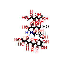 NCC(=O)O.O=CC(O)C(O)C(O)C(O)CO.OCC(O)C(O)C(O)C(O)C(O)C1O[C@H](CO)[C@@H](O)[C@H](O)[C@H]1O.OCC(O)C(O)C(O)C(O)CO